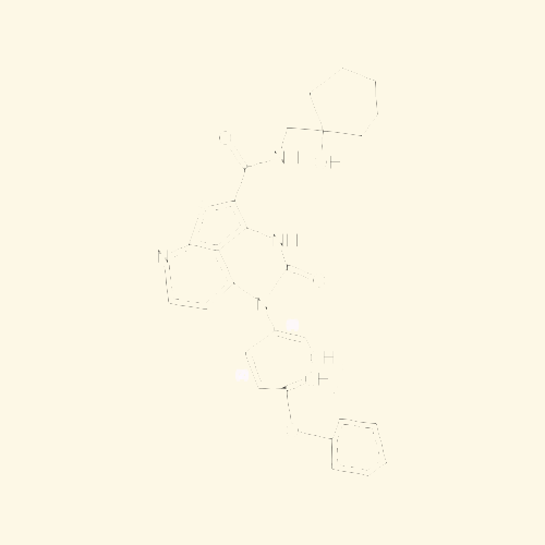 C=C(/C=C\C(=C/C)N1C(=O)Nc2c(C(=O)NCC3(O)CCCCC3)sc3nccc1c23)Oc1ccccc1